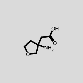 NC1(CC(=O)O)CCOC1